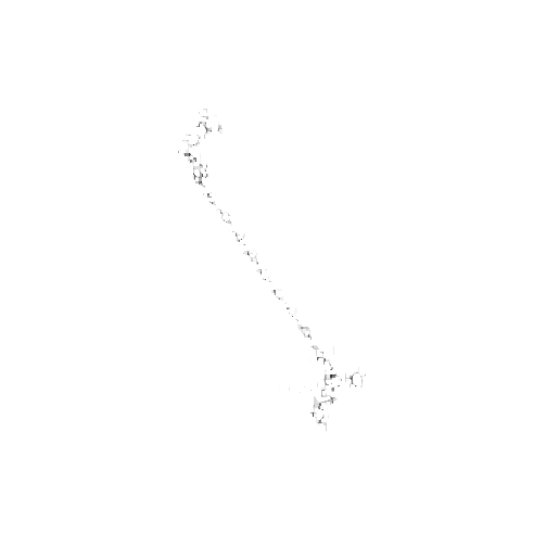 CCCCCC(NC(=O)C(Cc1ccccc1)NC(=O)COCC(=O)NCCCOCCCOCCCOCCCOCCCOCCCOCCCOCCCOCCCn1cc(CNC(=O)C2CCC(CN3C(=O)CC(C)C3=O)CC2)nn1)C(=O)Nc1ccc(C)cc1